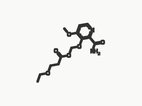 CCOCCC(=O)OCOc1c(OC)ccnc1C(N)=O